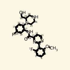 COc1cccc(F)c1-c1nccc(C(=O)Nc2cc(F)ccc2N2CCNCC2CO)n1